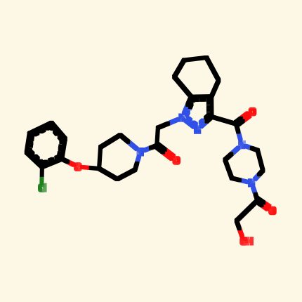 O=C(CO)N1CCN(C(=O)c2nn(CC(=O)N3CCC(Oc4ccccc4Cl)CC3)c3c2CCCC3)CC1